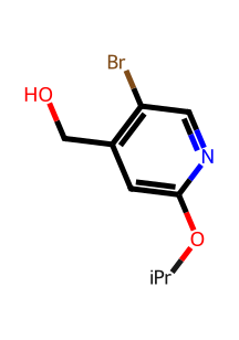 CC(C)Oc1cc(CO)c(Br)cn1